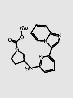 CC(C)(C)OC(=O)N1CCC(Nc2cccc(-c3cnc4ccccn34)n2)C1